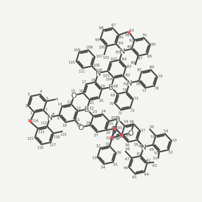 Cc1cccc(C)c1N(c1cc2c3c(c1)Oc1cc4c(cc1B3c1cc3c(cc1O2)N(c1ccccc1)c1cc(N(c2c(C)cccc2C)c2c(C)cccc2C)cc2c1B3c1ccccc1O2)B1c2ccccc2N(c2ccccc2)c2cc(N(c3c(C)cccc3C)c3c(C)cccc3C)cc(c21)N4c1ccccc1)c1c(C)cccc1C